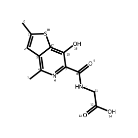 Cc1cc2c(C)nc(C(=O)NCC(=O)O)c(O)c2s1